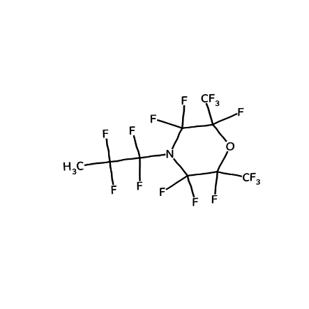 CC(F)(F)C(F)(F)N1C(F)(F)C(F)(C(F)(F)F)OC(F)(C(F)(F)F)C1(F)F